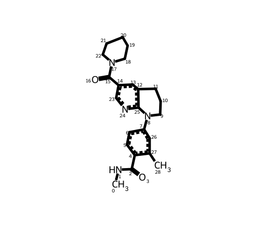 CNC(=O)c1ccc(N2CCCc3cc(C(=O)N4CCCCC4)cnc32)cc1C